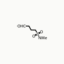 CNS(=O)(=O)CCC[C]=O